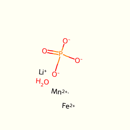 O.O=P([O-])([O-])[O-].[Fe+2].[Li+].[Mn+2]